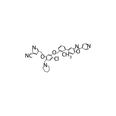 Cc1c(COc2cc(OCc3cncc(C#N)c3)c(CN3CCCCC3)cc2Cl)cccc1-c1ccc2oc(-c3ccncc3)nc2c1